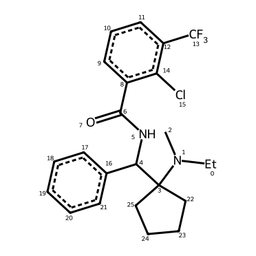 CCN(C)C1(C(NC(=O)c2cccc(C(F)(F)F)c2Cl)c2ccccc2)CCCC1